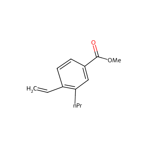 C=Cc1ccc(C(=O)OC)cc1CCC